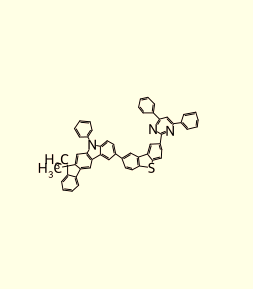 CC1(C)c2ccccc2-c2cc3c4cc(-c5ccc6sc7ccc(-c8nc(-c9ccccc9)cc(-c9ccccc9)n8)cc7c6c5)ccc4n(-c4ccccc4)c3cc21